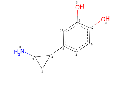 NC1CC1c1ccc(O)c(O)c1